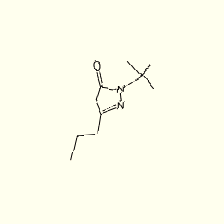 CCCC1=NN(C(C)(C)C)C(=O)C1